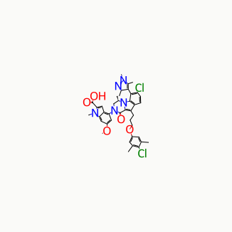 COc1cc(N2C[C@@H](C)n3c(c(CCCOc4cc(C)c(Cl)c(C)c4)c4ccc(Cl)c(-c5c(C)nn(C)c5C)c43)C2=O)c2cc(C(=O)O)n(C)c2c1